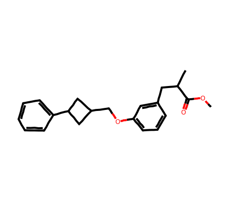 COC(=O)C(C)Cc1cccc(OCC2CC(c3ccccc3)C2)c1